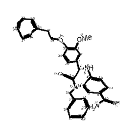 COc1cc([C@H](Nc2ccc(C(=N)N)cc2)C(=O)NCc2ccccc2)ccc1OCCc1ccccc1